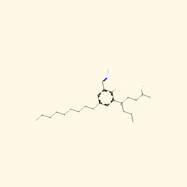 CCCCCCCCCc1cc(C=NO)c(O)c(C(CCC)CCC(C)O)c1